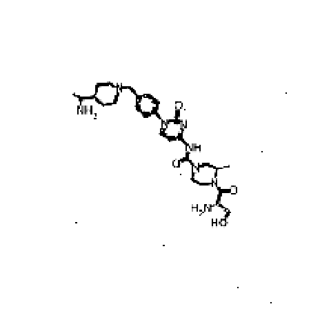 CC(N)C1CCN(Cc2ccc(-n3ccc(NC(=O)N4CCN(C(=O)[C@@H](N)CO)[C@H](C)C4)nc3=O)cc2)CC1